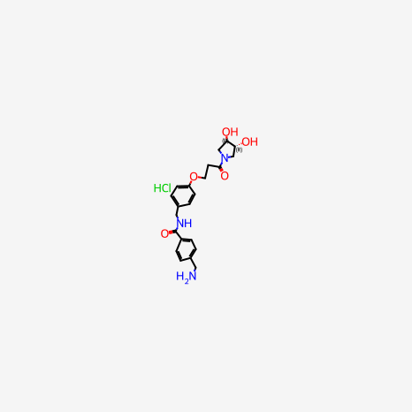 Cl.NCc1ccc(C(=O)NCc2ccc(OCCC(=O)N3C[C@@H](O)[C@H](O)C3)cc2)cc1